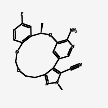 C[C@H]1Oc2cc(cnc2N)-c2c(nn(C)c2C#N)CCOCOc2ccc(F)cc21